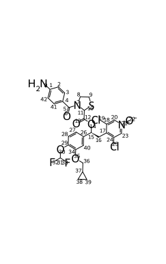 Nc1ccc(C(=O)N2CCSC2C(=O)O[C@@H](Cc2c(Cl)c[n+]([O-])cc2Cl)c2ccc(OC(F)F)c(OCC3CC3)c2)cc1